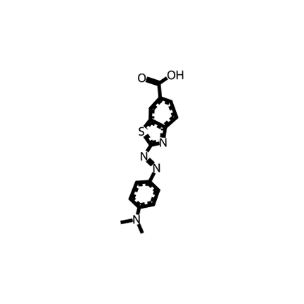 CN(C)c1ccc(/N=N/c2nc3ccc(C(=O)O)cc3s2)cc1